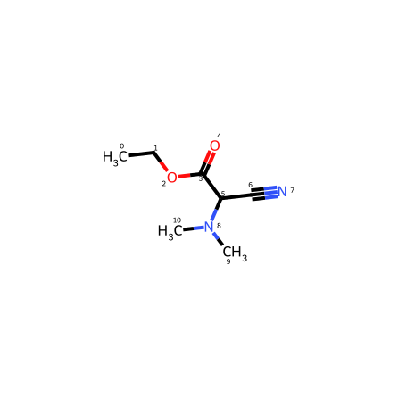 CCOC(=O)C(C#N)N(C)C